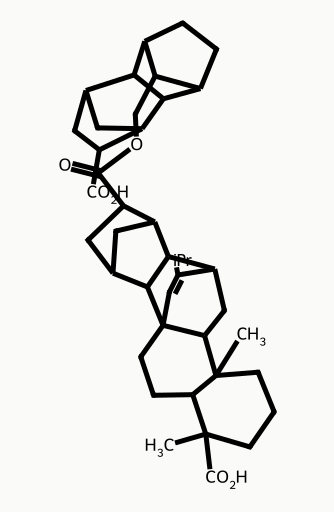 CC(C)C1=CC23CCC4C(C)(C(=O)O)CCCC4(C)C2CC1C1C2CC(CC2C(=O)OCC2C4CCC2C2C5CC(CC5C(=O)O)C42)C13